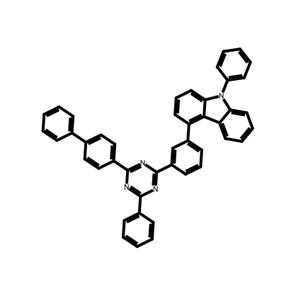 c1ccc(-c2ccc(-c3nc(-c4ccccc4)nc(-c4cccc(-c5cccc6c5c5ccccc5n6-c5ccccc5)c4)n3)cc2)cc1